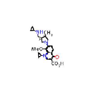 COc1c(N2C[C@@H](CNC3CC3)[C@@H](C)C2)ccc2c(=O)c(C(=O)O)cn(C3CC3)c12